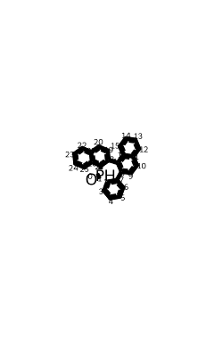 O=[PH]1c2ccccc2-c2ccc3ccccc3c2-c2ccc3ccccc3c21